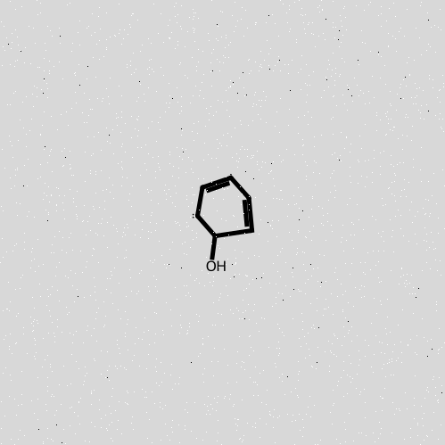 OC1[C]C=[C]C=C1